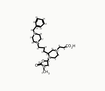 CN1CC(N2CCN(CCC(=O)O)CC2CCCN2CCN(Cc3ccccc3)CC2)OC1=O